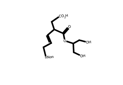 CCCCCCCCCCC=CC(CC(=O)O)C(=O)OC(CO)CO